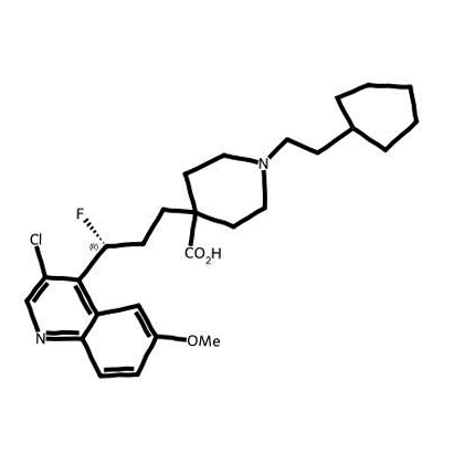 COc1ccc2ncc(Cl)c([C@H](F)CCC3(C(=O)O)CCN(CCC4CCCCC4)CC3)c2c1